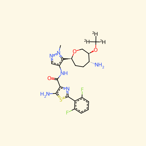 [2H]C([2H])([2H])O[C@@H]1CO[C@H](c2c(NC(=O)c3nc(-c4c(F)cccc4F)sc3N)cnn2C)CC[C@H]1N